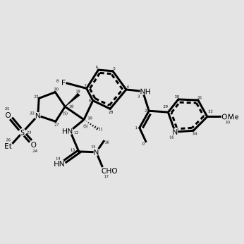 CC=C(Nc1ccc(F)c([C@@](C)(NC(=N)N(C)C=O)[C@@]2(C)CCN(S(=O)(=O)CC)C2)c1)c1ccc(OC)cn1